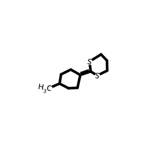 CC1CCC(=C2SCCCS2)CC1